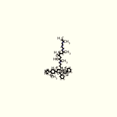 CC/C(C)=C/C=C/C=C/[C@@H](C)CC(C)C(=O)CC(O)/C(C)=C/CCC[C@H](OC(=O)C1CCCCN1C(=O)C(=O)C1(O)OCCCC1C)[C@H](C)CC1CCC(n2cnnn2)C(OC)C1